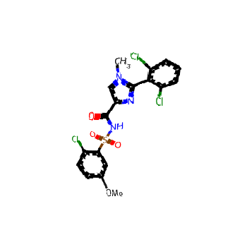 COc1ccc(Cl)c(S(=O)(=O)NC(=O)c2cn(C)c(-c3c(Cl)cccc3Cl)n2)c1